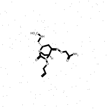 C=CCON1C(=O)N2C[C@H]1/C(=N\OCC(N)=O)C[C@H]2CNC(=O)O